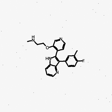 CNCCOc1cnccc1-c1[nH]c2cccnc2c1-c1ccc(F)c(C)c1